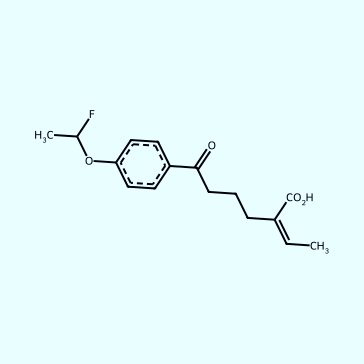 C/C=C(/CCCC(=O)c1ccc(OC(C)F)cc1)C(=O)O